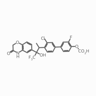 CC(c1ccc(-c2ccc(OC(=O)O)c(F)c2)cc1Cl)C(O)(c1ccc2c(c1)NC(=O)CO2)C(F)(F)F